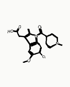 COc1cc2c(CC(=O)O)c(C)n(C(=O)C3CCN(C)CC3)c2cc1Cl